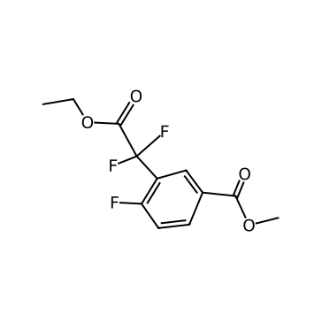 CCOC(=O)C(F)(F)c1cc(C(=O)OC)ccc1F